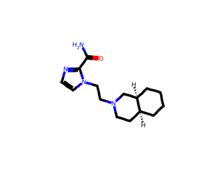 NC(=O)c1n[c]cn1CCN1CC[C@@H]2CCCC[C@@H]2C1